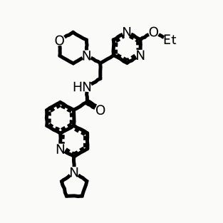 CCOc1ncc(C(CNC(=O)c2cccc3nc(N4CCCC4)ccc23)N2CCOCC2)cn1